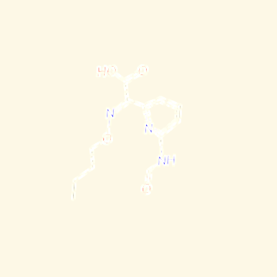 CCCCO/N=C(/C(=O)O)c1cccc(NC=O)n1